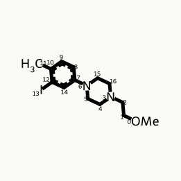 COCCN1CCN(c2ccc(C)c(I)c2)CC1